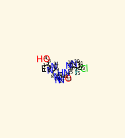 CC/C=C(/CO)c1nc(Cn2cc(C(=O)NCc3ncn4ccc(Cl)c(F)c34)nn2)cn1C